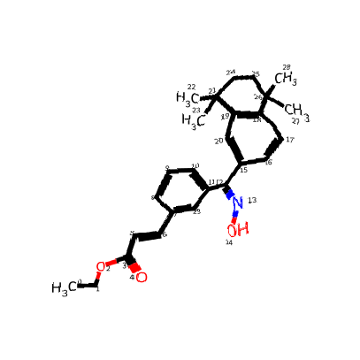 CCOC(=O)C=Cc1cccc(C(=NO)c2ccc3c(c2)C(C)(C)CCC3(C)C)c1